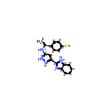 C=C(Nc1cc(-c2nc3ccccc3[nH]2)n[nH]1)c1ccc(F)cc1